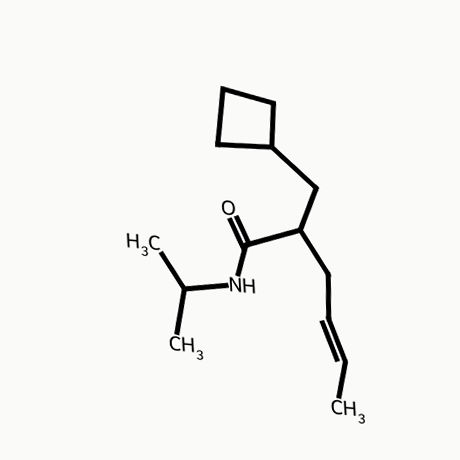 C/C=C/CC(CC1CCC1)C(=O)NC(C)C